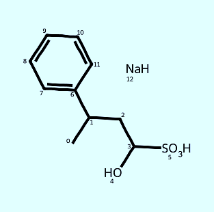 CC(CC(O)S(=O)(=O)O)c1ccccc1.[NaH]